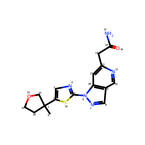 CC1(c2cnc(-n3ncc4cnc(CC(N)=O)cc43)s2)CCOC1